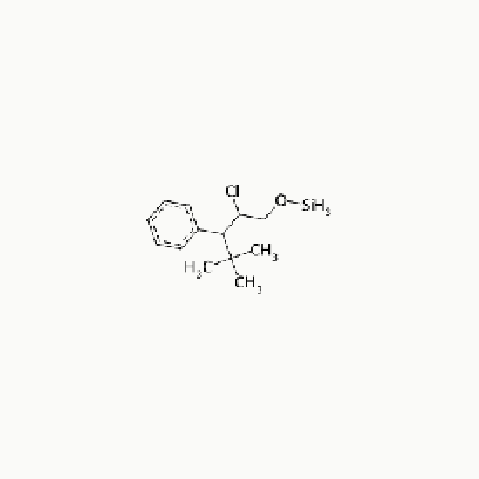 CC(C)(C)C(c1ccccc1)C(Cl)CO[SiH3]